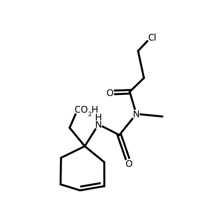 CN(C(=O)CCCl)C(=O)NC1(CC(=O)O)CC=CCC1